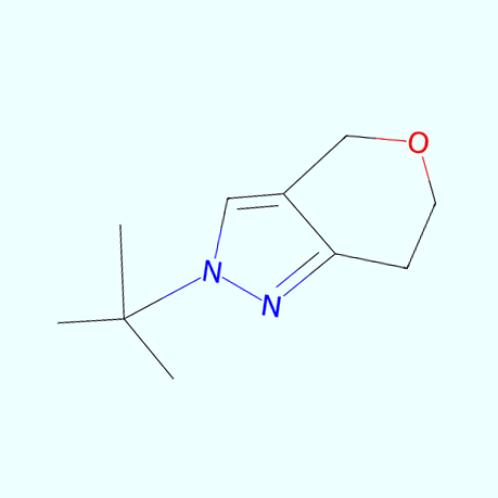 CC(C)(C)n1cc2c(n1)CCOC2